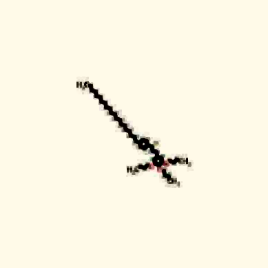 CCCCCCCCCCCCCCCCCCCCCc1ccc(C(=S)C=Cc2cc(OCCCC)c(OCCCC)c(OCCCC)c2)cc1